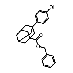 O=C(OCc1ccccc1)C12CC3CC(C1)CC(c1ccc(O)cc1)(C3)C2